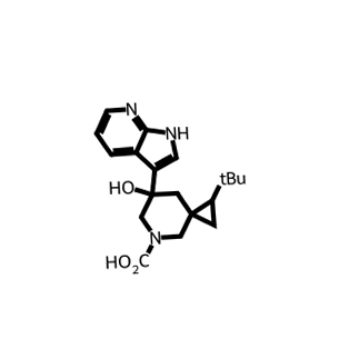 CC(C)(C)C1CC12CN(C(=O)O)CC(O)(c1c[nH]c3ncccc13)C2